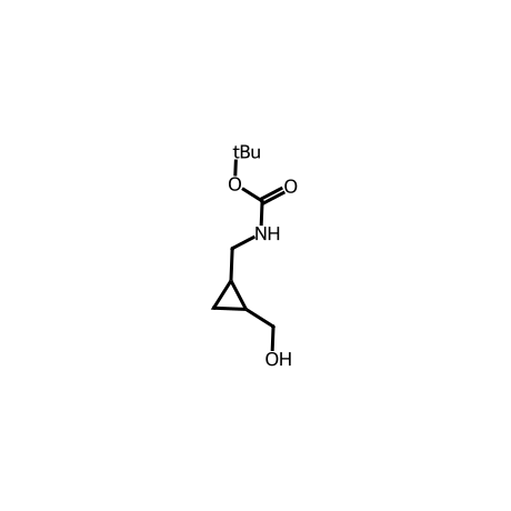 CC(C)(C)OC(=O)NCC1CC1CO